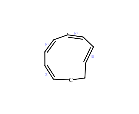 [C]1=C\C=C\CC/C=C\C=C/1